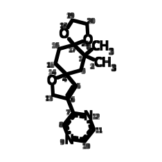 CC1(C)CC2(C=C(c3cnccn3)CO2)CCC12OCCO2